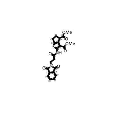 COC(=O)c1c(NC(=O)CCN2C(=O)c3ccccc3C2=O)sc2c1C(C(=O)OC)CC2